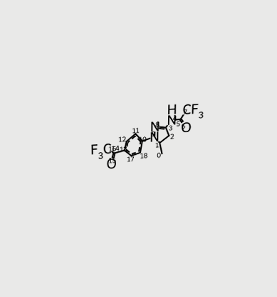 CC1CC(NC(=O)C(F)(F)F)=NN1c1ccc(C(=O)C(F)(F)F)cc1